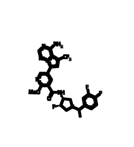 COc1ncc(-c2cc(C(F)(F)F)c3c(N)ncnn23)cc1C(=O)N[C@@H]1CN(C(C)c2ccc(F)c(F)c2)C[C@@H]1F